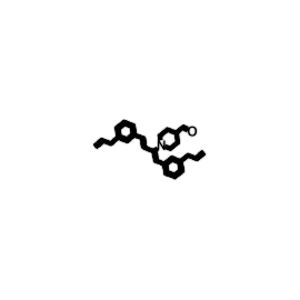 C=CCc1cccc(C=CC(=Cc2cccc(CC=C)c2)N2CCC(C=O)CC2)c1